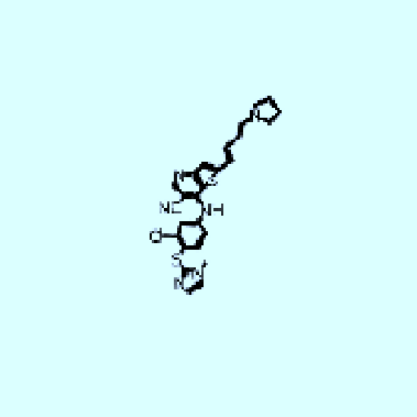 Cn1ccnc1Sc1ccc(Nc2c(C#N)cnc3cc(/C=C/CCN4CCCC4)sc23)cc1Cl